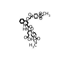 CCOC(=O)N1CCN(C(=O)C(CCC(=O)O)NC(=O)c2cc(OCC(=O)N3CCN(S(=O)(=O)CC)CC3)c3ccccc3n2)CC1